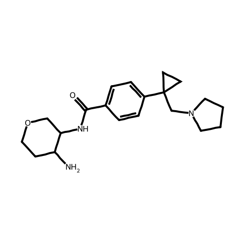 NC1CCOCC1NC(=O)c1ccc(C2(CN3CCCC3)CC2)cc1